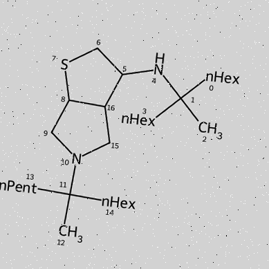 CCCCCCC(C)(CCCCCC)NC1CSC2CN(C(C)(CCCCC)CCCCCC)CC12